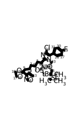 CC(C)(C)[S@@+]([O-])NC(CCCCCC1(c2ccon2)OCCO1)c1nc(Cl)c(-c2ccc(F)cc2)n1COCC[Si](C)(C)C